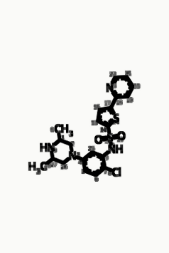 CC1CN(c2ccc(Cl)c(NS(=O)(=O)c3ccc(-c4ccccn4)s3)c2)CC(C)N1